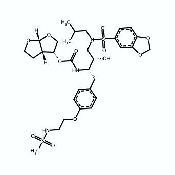 CC(C)CN(C[C@H](O)[C@H](Cc1ccc(OCCNS(C)(=O)=O)cc1)NC(=O)O[C@H]1CO[C@H]2OCC[C@H]21)S(=O)(=O)c1ccc2c(c1)OCO2